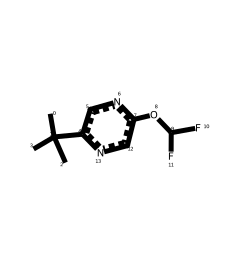 CC(C)(C)c1cnc(OC(F)F)cn1